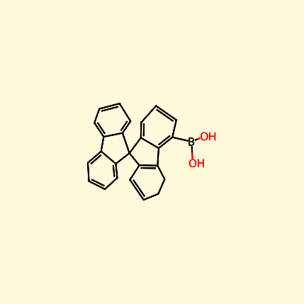 OB(O)c1cccc2c1C1=C(C=CCC1)C21c2ccccc2-c2ccccc21